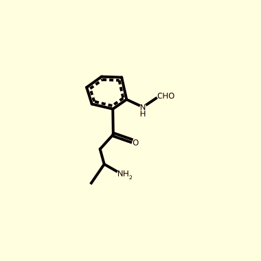 CC(N)CC(=O)c1ccccc1NC=O